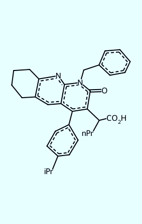 CCCC(C(=O)O)c1c(-c2ccc(C(C)C)cc2)c2cc3c(nc2n(Cc2ccccc2)c1=O)CCCC3